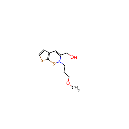 COCCCN1Sc2sccc2C=C1CO